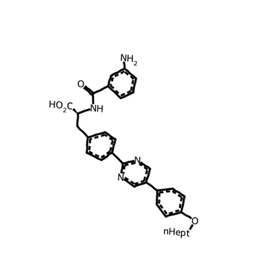 CCCCCCCOc1ccc(-c2cnc(-c3ccc(C[C@H](NC(=O)c4cccc(N)c4)C(=O)O)cc3)nc2)cc1